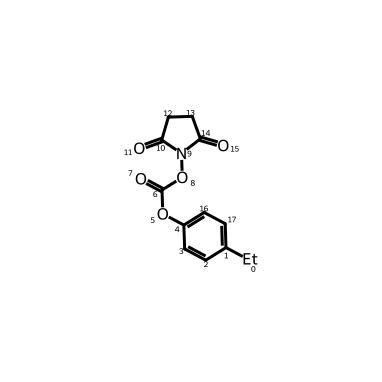 CCc1ccc(OC(=O)ON2C(=O)CCC2=O)cc1